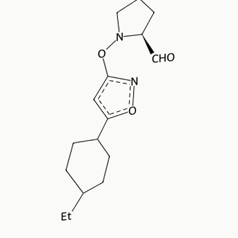 CCC1CCC(c2cc(ON3CCC[C@H]3C=O)no2)CC1